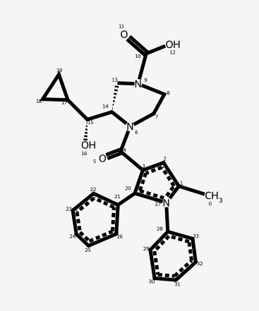 Cc1cc(C(=O)N2CCN(C(=O)O)C[C@H]2[C@H](O)C2CC2)c(-c2ccccc2)n1-c1ccccc1